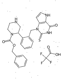 O=C(O)C(F)(F)F.O=C(OCc1ccccc1)N1CCNCC1c1ccccc1Cn1c(=S)[nH]c(=O)c2[nH]ccc21